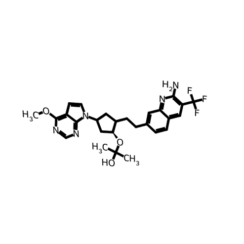 COc1ncnc2c1ccn2C1CC(CCc2ccc3cc(C(F)(F)F)c(N)nc3c2)[C@@H](OC(C)(C)O)C1